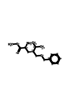 COC(=O)[C@@H](N)C[C@H](COCc1ccccc1)C(C)C